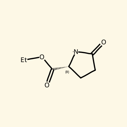 CCOC(=O)[C@H]1CCC(=O)[N]1